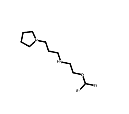 CCC(CC)OCCNCCCN1CCCC1